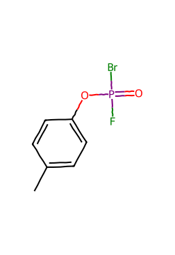 Cc1ccc(OP(=O)(F)Br)cc1